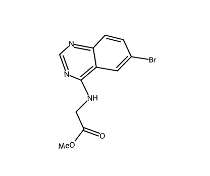 COC(=O)CNc1ncnc2ccc(Br)cc12